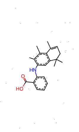 CC1=CCC(C)(C)c2cc(Nc3ccccc3C(=O)O)c(C)c(C)c21